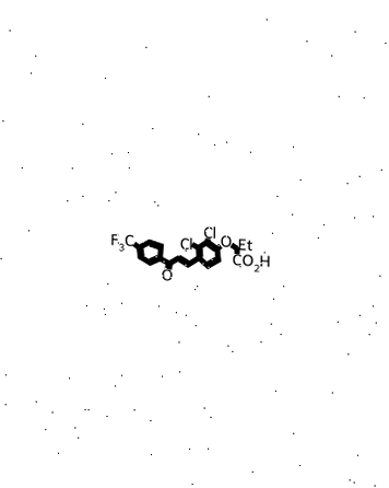 CCC(Oc1ccc(/C=C/C(=O)c2ccc(C(F)(F)F)cc2)c(Cl)c1Cl)C(=O)O